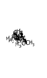 C=CC(C)(CCC=C(C)C)OC(C)(C=C)CCC=C(C)C